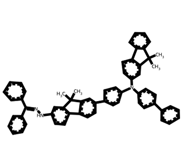 CC1(C)c2cc(NN=C(c3ccccc3)c3ccccc3)ccc2-c2ccc(-c3ccc(N(c4ccc(-c5ccccc5)cc4)c4ccc5c(c4)C(C)(C)c4ccccc4-5)cc3)cc21